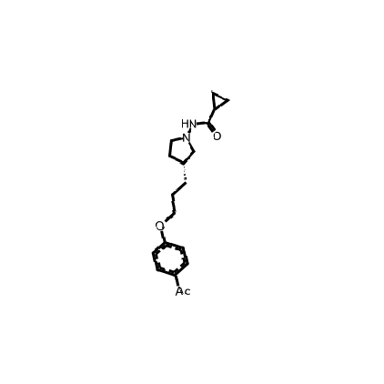 CC(=O)c1ccc(OCCC[C@@H]2CCN(NC(=O)C3CC3)C2)cc1